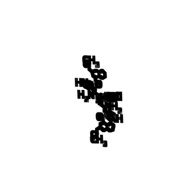 COCCc1cc(C(=O)[C@H]2CNCCN2CC(N)CSSCC(N)CN2CCNC[C@@H]2C(=O)c2cc(CCOC)cc3ccccc23)c2ccccc2c1.Cl.Cl.Cl.Cl